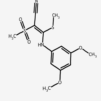 COc1cc(NC(SC)=C(C#N)S(C)(=O)=O)cc(OC)c1